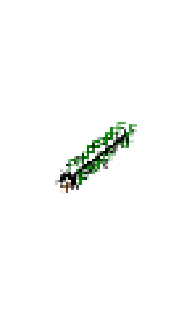 FC(F)(F)C(F)(F)C(F)(F)C(F)(F)C(F)(F)C(F)(F)C(F)(F)C(F)(F)C(F)(F)c1ccsc1